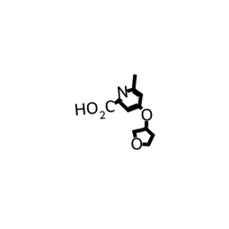 Cc1cc(OC2CCOC2)cc(C(=O)O)n1